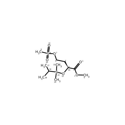 COC(=O)[C@H](CCOS(C)(=O)=O)O[Si](C)(C)C(C)C